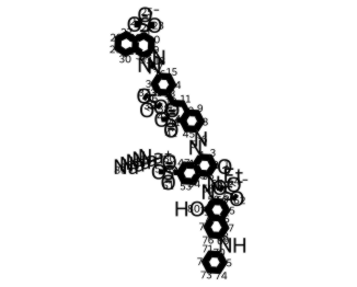 CCOc1cc(N=Nc2ccc(/C=C/c3ccc(-n4nc5cc(S(=O)(=O)[O-])c6ccccc6c5n4)cc3S(=O)(=O)[O-])c(S(=O)(=O)[O-])c2)c2cc(S(=O)(=O)[O-])ccc2c1N=Nc1c(S(=O)(=O)[O-])cc2cc(Nc3ccccc3)ccc2c1O.[Na+].[Na+].[Na+].[Na+].[Na+]